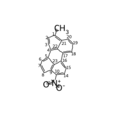 Cc1ccc2c3cccc4c([N+](=O)[O-])ccc(c5cccc1c25)c43